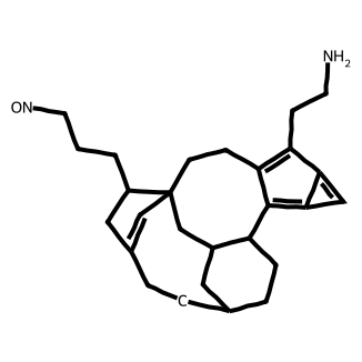 NCCc1c2cc-2c2c1CCC13C=C(CCC4CCC2C(C4)C1)CC3CCCN=O